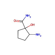 NC(=O)C1(O)CCCC1N